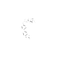 N#C[C@H](Cc1ccc(-c2ccc3c(c2)CC(=O)N3)cc1)NC(=O)[C@H]1NC2CCC1CC2